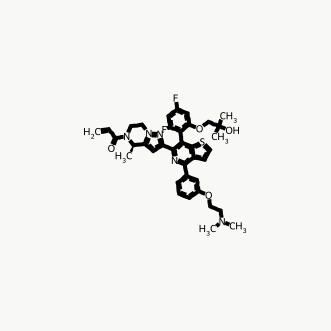 C=CC(=O)N1CCn2nc(-c3nc(-c4cccc(OCCN(C)C)c4)c4ccsc4c3-c3c(F)cc(F)cc3OCC(C)(C)O)cc2[C@H]1C